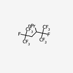 CCCC(CC(F)(C(F)(F)F)C(F)(F)F)C(F)(C(F)(F)F)C(F)(F)F